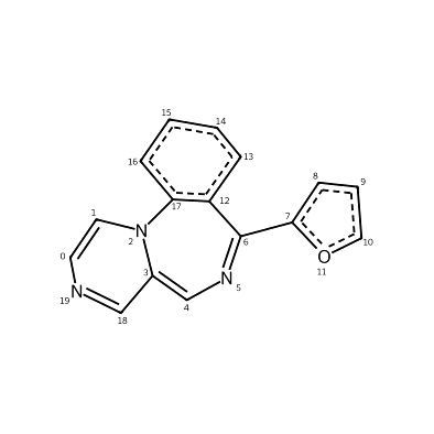 C1=CN2C(=CN=C(c3ccco3)c3ccccc32)C=N1